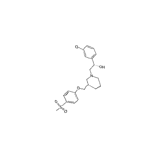 CS(=O)(=O)c1ccc(OCC2CCCN(C[C@@H](O)c3cccc(Cl)c3)C2)cc1